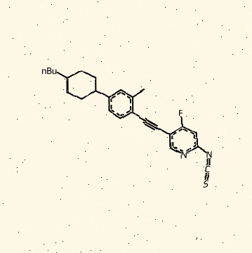 CCCCC1CCC(c2ccc(C#Cc3cnc(N=C=S)cc3F)c(C)c2)CC1